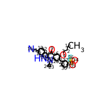 CCCCOc1cc2c(=O)c3c4ccc(C#N)cc4[nH]c3n(C3CC3)c2cc1-c1cccc(S(=O)(=O)F)c1